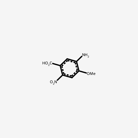 COc1cc([N+](=O)[O-])c(C(=O)O)cc1N